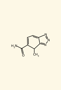 CC1C(C(N)=O)=CC=C2N=NN=C21